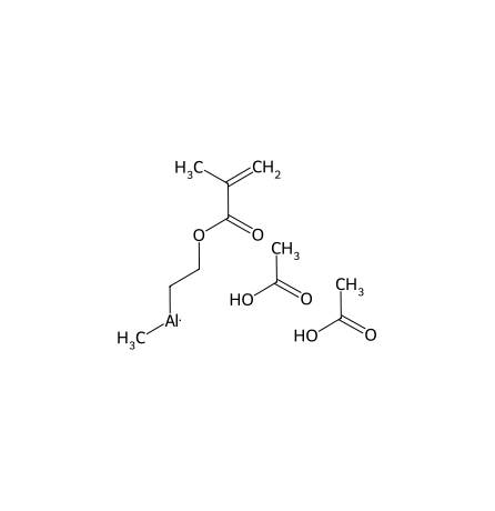 C=C(C)C(=O)OC[CH2][Al][CH3].CC(=O)O.CC(=O)O